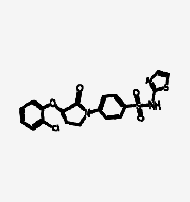 O=C1C(Oc2ccccc2Cl)CCN1c1ccc(S(=O)(=O)Nc2nccs2)cc1